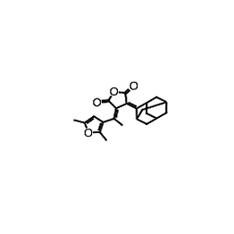 CC(=C1C(=O)OC(=O)C1=C1C2CC3CC(C2)CC1C3)c1cc(C)oc1C